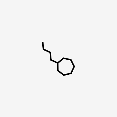 CCCCC1CC[CH]CCC1